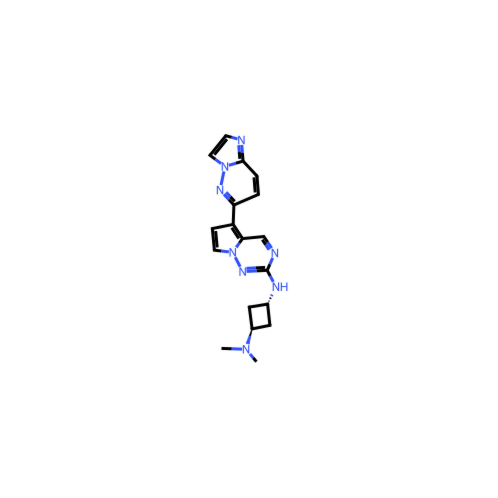 CN(C)[C@H]1C[C@H](Nc2ncc3c(-c4ccc5nccn5n4)ccn3n2)C1